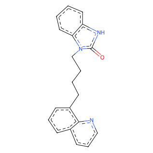 O=c1[nH]c2ccccc2n1CCCCc1cccc2cccnc12